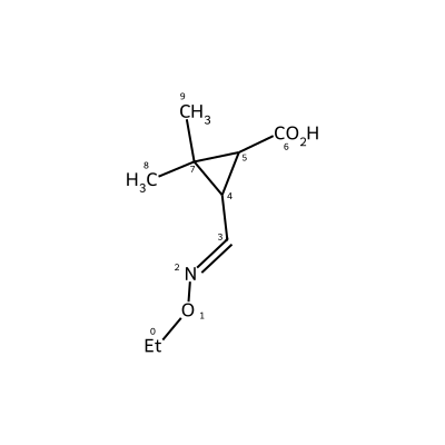 CCO/N=C/C1C(C(=O)O)C1(C)C